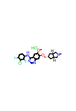 COc1cc2c(Nc3ccc(F)c(Cl)c3F)ncnc2cc1OC[C@@H]1C[C@@H]2CN(C)C[C@@H]2C1.Cl